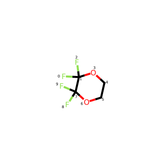 FC1(F)OCCOC1(F)F